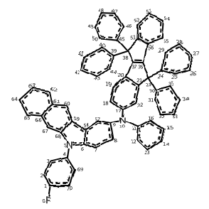 Fc1ccc(-n2c3ccc(N(c4ccccc4)c4ccc5c(c4)C(c4ccccc4)(c4ccccc4)C4=C5C(c5ccccc5)(c5ccccc5)c5ccccc54)cc3c3cc4ccccc4cc32)cc1